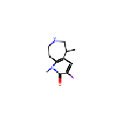 CC1CNCCc2c1cc(I)c(=O)n2C